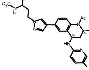 CC(=O)N1c2ccc(-c3cnn(CCC(NC(=O)O)C(C)(C)C)c3)cc2[C@H](Nc2ccc(C)cn2)C[C@@H]1C